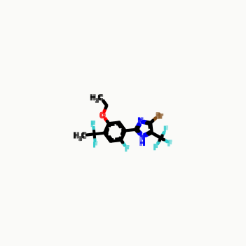 CCOc1cc(-c2nc(Br)c(C(F)(F)F)[nH]2)c(F)cc1C(C)(F)F